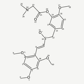 COc1cc(OC)c(C=C[S+]([O-])Cc2ccc(OC)c(OC(=O)CN(C)C)c2)c(OC)c1